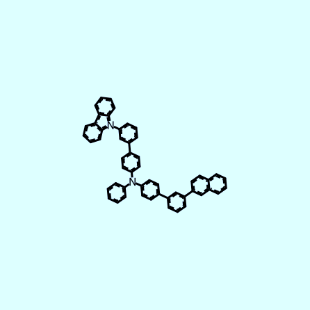 c1ccc(N(c2ccc(-c3cccc(-c4ccc5ccccc5c4)c3)cc2)c2ccc(-c3cccc(-n4c5ccccc5c5ccccc54)c3)cc2)cc1